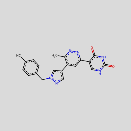 Cc1nnc(-c2c[nH]c(=O)[nH]c2=O)cc1-c1cnn(Cc2ccc(C#N)cc2)c1